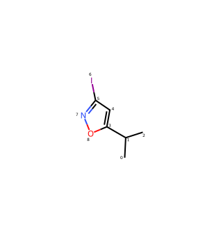 CC(C)c1cc(I)no1